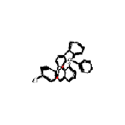 Clc1ccc(-c2ccc3c(c2)[Si](c2ccccc2)(c2cccc4ccccc24)c2ccccc2-3)cc1